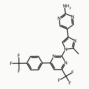 Cc1nc(-c2cnc(N)nc2)cn1-c1nc(-c2ccc(C(F)(F)F)cc2)cc(C(F)(F)F)n1